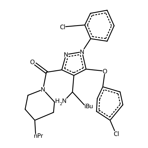 CCCC1CCN(C(=O)c2nn(-c3ccccc3Cl)c(Oc3ccc(Cl)cc3)c2C(N)C(C)CC)CC1